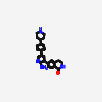 Nc1ncc(-c2ccc(C3CCNCC3)cc2)cc1-c1ccc2c(c1)CCNC2=O